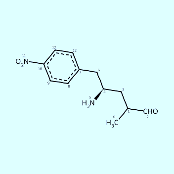 CC(C=O)C[C@@H](N)Cc1ccc([N+](=O)[O-])cc1